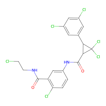 O=C(NCCCl)c1cc(NC(=O)C2C(c3cc(Cl)cc(Cl)c3)C2(Cl)Cl)ccc1Cl